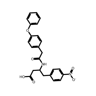 O=C(O)CC(Cc1ccc([N+](=O)[O-])cc1)NC(=O)Cc1ccc(Oc2ccccc2)cc1